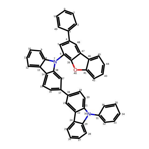 c1ccc(-c2cc(-n3c4ccccc4c4ccc(-c5ccc6c(c5)c5ccccc5n6-c5ccccc5)cc43)c3oc4ccccc4c3c2)cc1